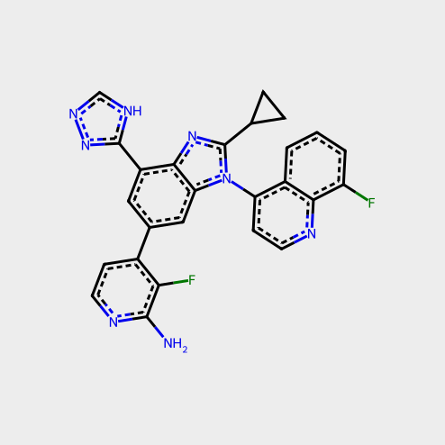 Nc1nccc(-c2cc(-c3nnc[nH]3)c3nc(C4CC4)n(-c4ccnc5c(F)cccc45)c3c2)c1F